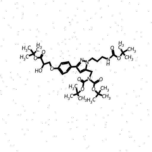 CC(C)(C)OC(=O)NCCCn1nc(-c2ccc(OCC(O)C(=O)OC(C)(C)C)cc2)cc1CN(C(=O)OC(C)(C)C)C(=O)OC(C)(C)C